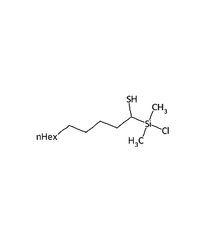 CCCCCCCCCCC(S)[Si](C)(C)Cl